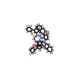 C1=C(c2cccc3c2sc2ccccc23)/N=C(c2c(-n3c4ccccc4c4cc5ccccc5cc43)ccc3oc4cc5ccccc5cc4c23)\N=C(\c2cccc3c2oc2ccccc23)CC\1